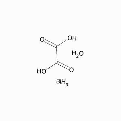 O.O=C(O)C(=O)O.[BiH3]